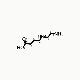 NCCNCCCC(=O)O